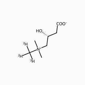 [2H]C([2H])([2H])[N+](C)(C)C[C@H](O)CC(=O)[O-]